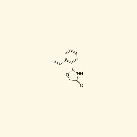 C=Cc1ccccc1C1NC(=O)CO1